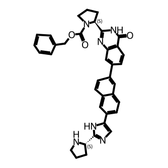 O=C(OCc1ccccc1)N1CCC[C@H]1c1nc2cc(-c3ccc4cc(-c5cnc([C@@H]6CCCN6)[nH]5)ccc4c3)ccc2c(=O)[nH]1